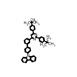 CC(C)(C)c1ccc(-c2cc(-c3cccc(-c4ccc(-n5c6ccccc6c6ccccc65)cc4)c3)nc(-c3ccc(C(C)(C)C)cc3)n2)cc1